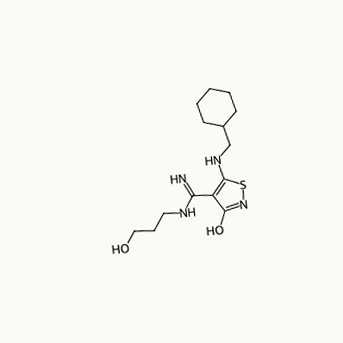 N=C(NCCCO)c1c(O)nsc1NCC1CCCCC1